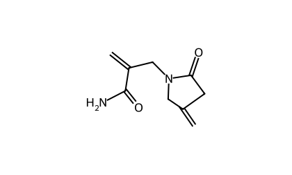 C=C1CC(=O)N(CC(=C)C(N)=O)C1